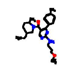 CCC1CCC(C)N(C(=O)c2cnc(NCCCOC)nc2-c2ccc(C)cc2)C1